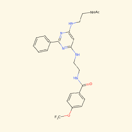 CC(=O)NCCNc1cc(NCCNC(=O)c2ccc(OC(F)(F)F)cc2)nc(-c2ccccc2)n1